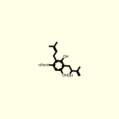 C=C(C)C(O)Cc1c(O)cc(CCCCC)c(CC=C(C)C)c1O